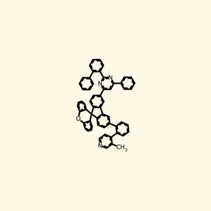 Cc1cnccc1-c1ccccc1-c1ccc2c(c1)-c1cc(-c3cc(-c4ccccc4)nc(-c4ccccc4-c4ccccc4)n3)ccc1C21c2ccccc2Oc2ccccc21